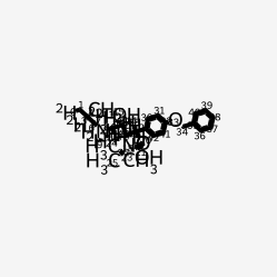 [2H]CC([2H])(C)C([2H])([2H])N([2H])C([2H])([2H])[C@@]([2H])(O)[C@@]([2H])(N(C(=O)O)C(C)(C)C)C([2H])([2H])c1ccc(OCc2ccccc2)cc1